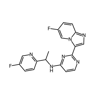 CC(Nc1ccnc(-c2cnc3ccc(F)cn23)n1)c1ccc(F)cn1